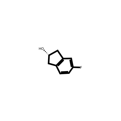 O[C@H]1Cc2ccc(F)cc2C1